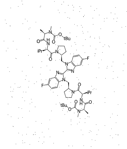 CC(C)[C@@H](NC(=O)[C@@H](C)N(C)C(=O)OC(C)(C)C)C(=O)N1CCC[C@H]1Cn1c(-c2nc3cc(F)ccc3n2C[C@@H]2CCCN2C(=O)[C@H](NC(=O)[C@@H](C)N(C)C(=O)OC(C)(C)C)C(C)C)nc2cc(F)ccc21